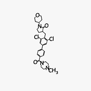 CN1CCN(C(=O)c2ccc(-c3cc(Cl)c(CC4CCN(C5CCOCC5)C4=O)c(Cl)c3)cc2)CC1